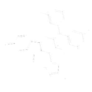 CC(C)(C)c1ccc2c(c1)[C]([Zr+2])=c1c-2cc(=C(c2cccc(Cl)c2)c2cccc(Cl)c2)c(C(C)(C)C)c1C1=CC=CC1.[Cl-].[Cl-]